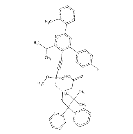 COP(=O)(C#Cc1c(-c2ccc(F)cc2)cc(-c2ccccc2C)nc1C(C)C)C[C@H](CC(=O)O)O[Si](c1ccccc1)(c1ccccc1)C(C)(C)C